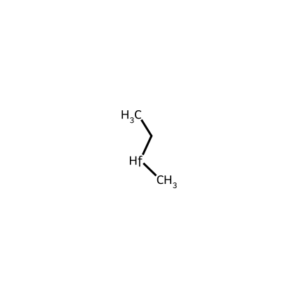 C[CH2][Hf][CH3]